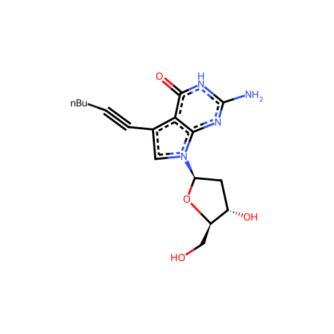 CCCCC#Cc1cn([C@H]2C[C@H](O)[C@@H](CO)O2)c2nc(N)[nH]c(=O)c12